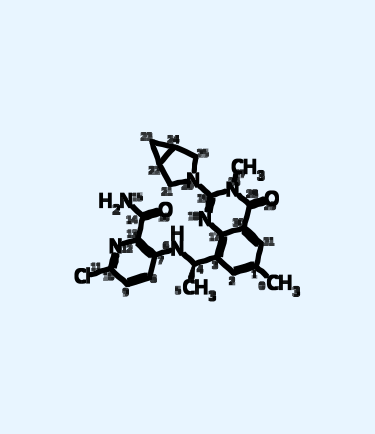 Cc1cc([C@@H](C)Nc2ccc(Cl)nc2C(N)=O)c2nc(N3CC4CC4C3)n(C)c(=O)c2c1